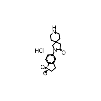 Cl.O=C1CC2(CCNCC2)CN1c1ccc2c(c1)CCS2(=O)=O